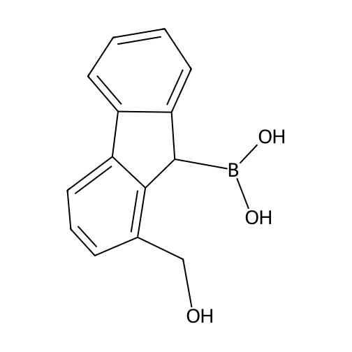 OCc1cccc2c1C(B(O)O)c1ccccc1-2